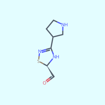 O=C[C@@H]1NC(C2CCNC2)=NS1